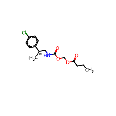 [CH2][C@H](CNC(=O)OCOC(=O)CCC)c1ccc(Cl)cc1